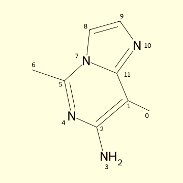 Cc1c(N)nc(C)n2ccnc12